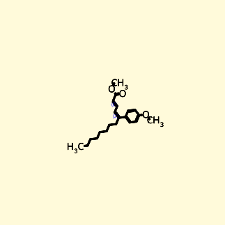 CCCCCCCC/C(=C/C=C/C(=O)OC)c1ccc(OC)cc1